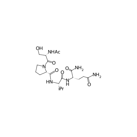 CC(=O)N[C@@H](CO)C(=O)N1CCC[C@H]1C(=O)N[C@H](C(=O)N[C@@H](CCC(N)=O)C(N)=O)C(C)C